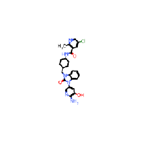 Cc1ncc(Cl)cc1C(=O)N[C@H]1CC[C@H](Cn2c(=O)n(-c3cnc(N)c(O)c3)c3ccccc32)CC1